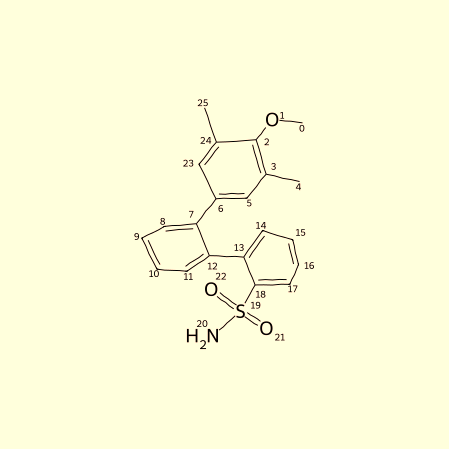 COc1c(C)cc(-c2ccccc2-c2ccccc2S(N)(=O)=O)cc1C